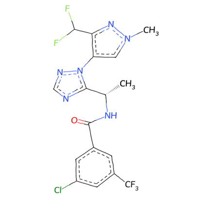 C[C@H](NC(=O)c1cc(Cl)cc(C(F)(F)F)c1)c1ncnn1-c1cn(C)nc1C(F)F